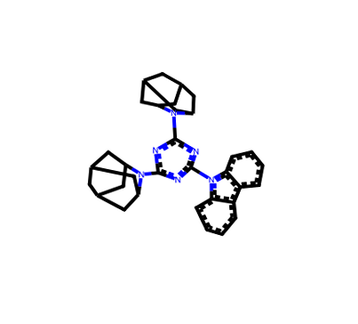 c1ccc2c(c1)c1ccccc1n2-c1nc(N2C3CC4CC(C3)CC2C4)nc(N2C3CC4CC(C3)CC2C4)n1